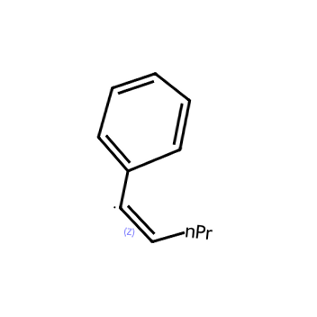 CCC/C=[C]\c1ccccc1